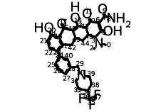 CN(C)C1C(O)=C(C(N)=O)C(=O)C2C(O)=C3C(=O)c4c(O)ccc(-c5cccc(CN6CCC(C(F)(F)F)CC6)c5)c4CC3CC21